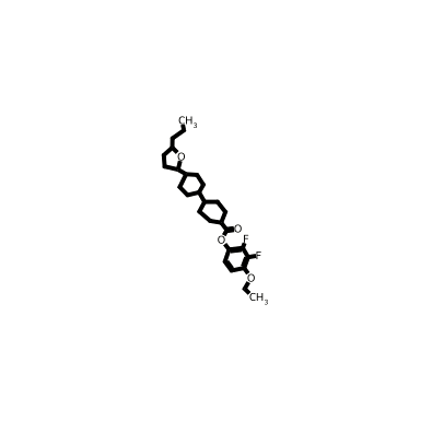 CCCC1CCC(C2CCC(C3CCC(C(=O)Oc4ccc(OCC)c(F)c4F)CC3)CC2)O1